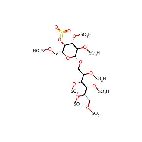 O=[SH](=O)O[C@H]1[C@H](OS(=O)(=O)O)[C@@H](OS(=O)(=O)O)[C@H](OC[C@@H](OS(=O)(=O)O)[C@@H](OS(=O)(=O)O)[C@H](OS(=O)(=O)O)[C@H](COS(=O)(=O)O)OS(=O)(=O)O)O[C@@H]1COS(=O)(=O)O